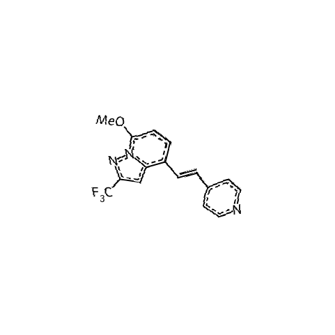 COc1ccc(C=Cc2ccncc2)c2cc(C(F)(F)F)nn12